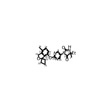 CC[C@@]1(C)NC(=O)N(c2cnc(Oc3ccc(C)c4c3C3(CCC3)OC4)nc2)C1=O